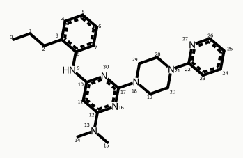 CCCc1ccccc1Nc1cc(N(C)C)nc(N2CCN(c3ccccn3)CC2)n1